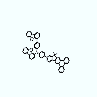 CC1(C)c2cc(-c3ccc(N(c4ccc(-c5cccc6c5oc5ccccc56)cc4)c4cccc5c4oc4ccccc45)cc3)ccc2-c2cc3c4ccccc4c4ccccc4c3cc21